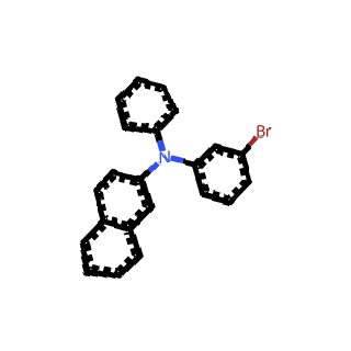 Brc1cccc(N(c2ccccc2)c2ccc3ccccc3c2)c1